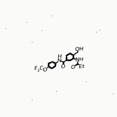 CCC(=O)Nc1cc(C(=O)Nc2ccc(OC(F)(F)F)cc2)ccc1CO